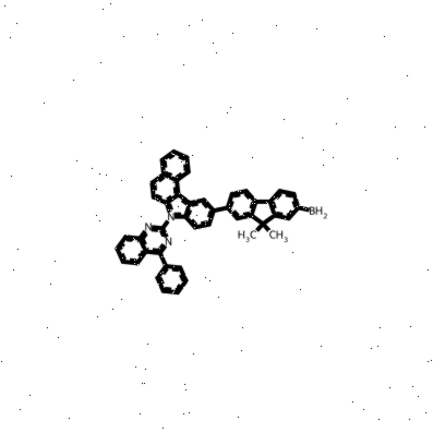 Bc1ccc2c(c1)C(C)(C)c1cc(-c3ccc4c(c3)c3c5ccccc5ccc3n4-c3nc(-c4ccccc4)c4ccccc4n3)ccc1-2